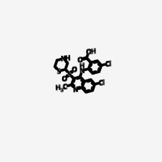 Cc1nc2ccc(Cl)cc2c(Nc2ccc(Cl)cc2C(=O)O)c1S(=O)(=O)C1CNCCS1